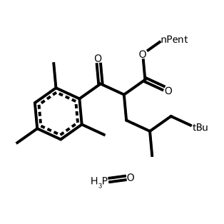 CCCCCOC(=O)C(CC(C)CC(C)(C)C)C(=O)c1c(C)cc(C)cc1C.O=[PH3]